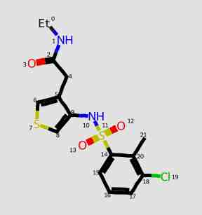 CCNC(=O)Cc1cscc1NS(=O)(=O)c1cccc(Cl)c1C